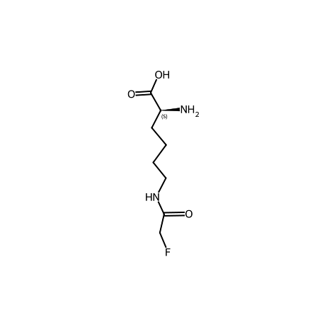 N[C@@H](CCCCNC(=O)CF)C(=O)O